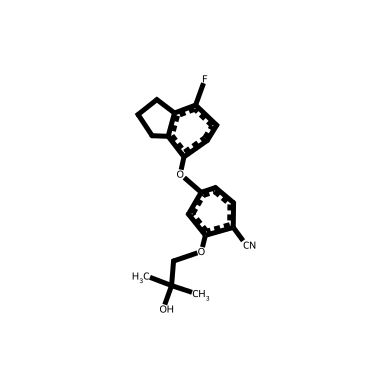 CC(C)(O)COc1cc(Oc2ccc(F)c3c2CCC3)ccc1C#N